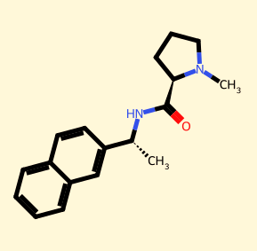 C[C@@H](NC(=O)[C@H]1CCCN1C)c1ccc2ccccc2c1